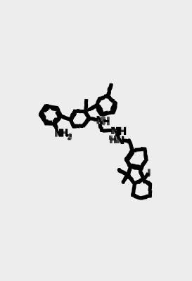 CC1C=CC=C(C2(C)C=C(c3ccccc3N)CCC2NCNNCC2=CC3=C(CC2)C2(I)CCCCC2C3(C)C)C1